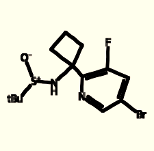 CC(C)(C)[S+]([O-])NC1(c2ncc(Br)cc2F)CCC1